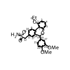 CCOc1cccc2c1-c1ccc(CS(N)(=O)=O)cc1C(c1ccc(OC)c(OC)c1)O2